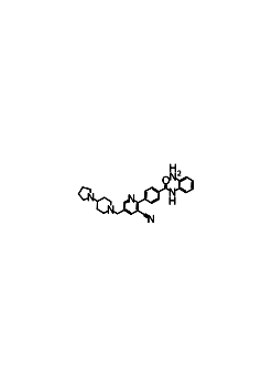 N#Cc1cc(CN2CCC(N3CCCC3)CC2)cnc1-c1ccc(C(=O)Nc2ccccc2N)cc1